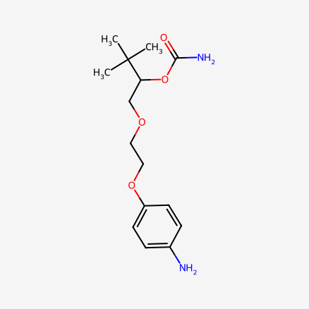 CC(C)(C)C(COCCOc1ccc(N)cc1)OC(N)=O